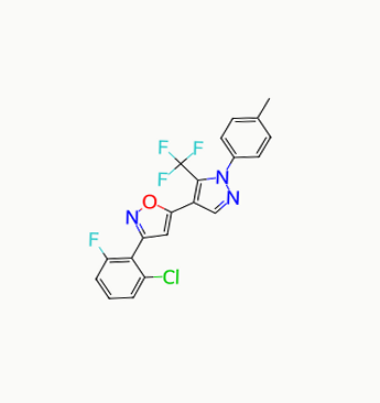 Cc1ccc(-n2ncc(-c3cc(-c4c(F)cccc4Cl)no3)c2C(F)(F)F)cc1